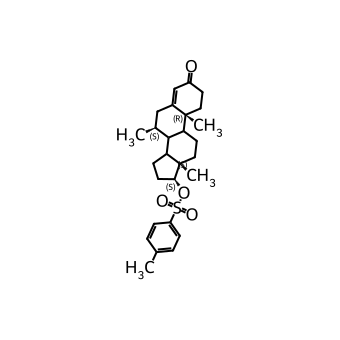 Cc1ccc(S(=O)(=O)O[C@H]2CCC3C4C(CC[C@@]32C)[C@@]2(C)CCC(=O)C=C2C[C@@H]4C)cc1